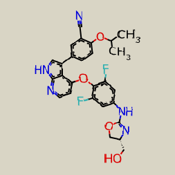 CC(C)Oc1ccc(-c2c[nH]c3nccc(Oc4c(F)cc(NC5=N[C@H](CO)CO5)cc4F)c23)cc1C#N